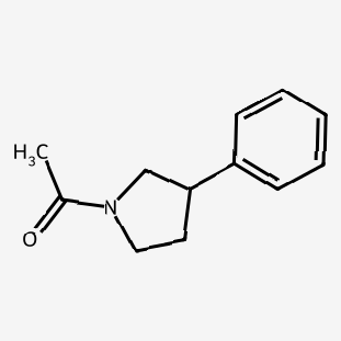 CC(=O)N1CCC(c2ccccc2)C1